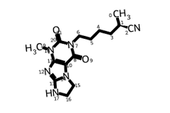 C[C@@H](C#N)CCCCn1c(=O)c2c(nc3n2CCN3)n(C)c1=O